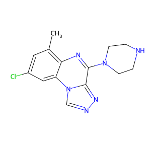 Cc1cc(Cl)cc2c1nc(N1CCNCC1)c1nncn12